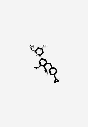 COc1cc([C@H]2C[C@@H](O)C[C@@H](CO)O2)cc(Cc2ccc(C3CC3)cc2)c1C#N